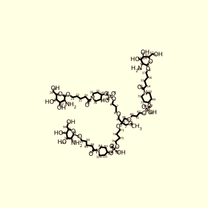 COCC(COCCCOP(=O)(O)OC1CCN(C(=O)CCCCO[C@@H]2OC(CO)[C@H](O)C(O)[C@@H]2N)CC1)(COCCCOP(=O)(O)OC1CCN(C(=O)CCCCO[C@@H]2OC(CO)[C@H](O)C(O)[C@@H]2N)CC1)OCCCCOP(=O)(O)OC1CCN(C(=O)CCCCO[C@@H]2OC(CO)[C@H](O)C(O)[C@@H]2N)CC1